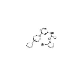 CC(C)C1CCCN1OC(=O)Nc1ccnc(N2CCN(C3CCCC3)CC2)c1